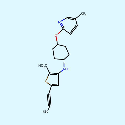 CC(C)(C)C#Cc1cc(N[C@H]2CC[C@H](Oc3ccc(C(F)(F)F)cn3)CC2)c(C(=O)O)s1